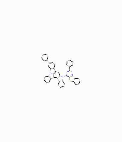 c1ccc(-c2ccc3c4cc5c(c6ccccc6n5-c5nc(-c6ccccc6)nc6c5sc5ccccc56)c5c6ccccc6n(c3c2)c45)cc1